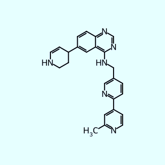 Cc1cc(-c2ccc(CNc3ncnc4ccc(C5C=CNCC5)cc34)cn2)ccn1